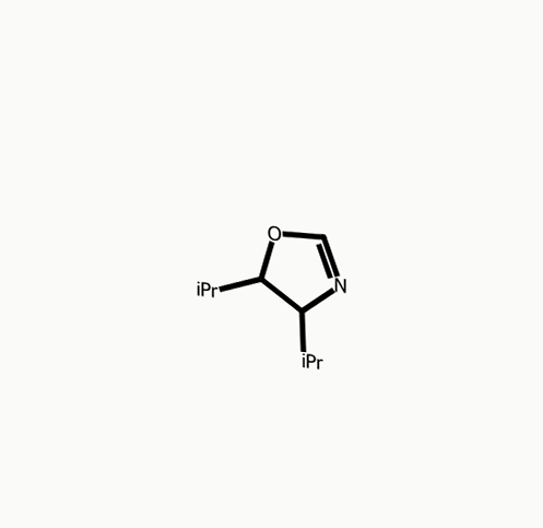 CC(C)C1N=COC1C(C)C